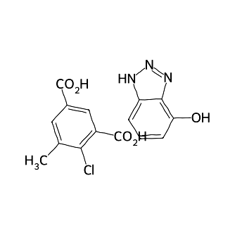 Cc1cc(C(=O)O)cc(C(=O)O)c1Cl.Oc1cccc2[nH]nnc12